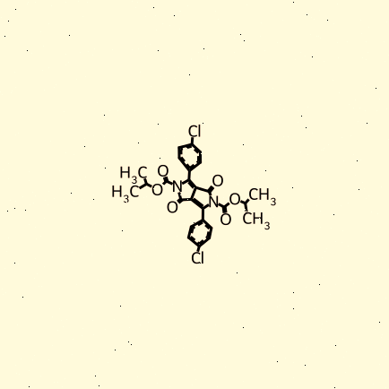 CC(C)OC(=O)N1C(=O)C2=C(c3ccc(Cl)cc3)N(C(=O)OC(C)C)C(=O)C2=C1c1ccc(Cl)cc1